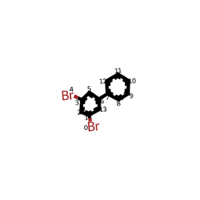 Brc1cc(Br)cc(-c2[c]cccc2)c1